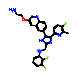 Cc1nc(-c2nc(CNc3cccc(F)c3F)[nH]c2-c2ccc3ncc(OCCN)cc3c2)ccc1F